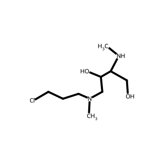 CNC(CO)C(O)CN(C)CCCCl